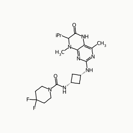 Cc1nc(N[C@H]2C[C@@H](NC(=O)N3CCC(F)(F)CC3)C2)nc2c1NC(=O)C(C(C)C)N2C